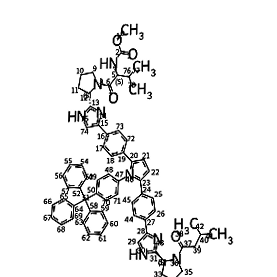 COC(=O)N[C@H](C(=O)N1CCC[C@H]1c1nc(-c2ccc(-c3ccc(-c4ccc(-c5c[nH]c([C@@H]6CCCN6C(=O)[CH]C(C)C)n5)cc4)n3-c3ccc(C(c4ccccc4)(c4ccccc4)c4ccccc4)cc3)cc2)c[nH]1)C(C)C